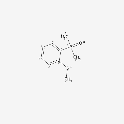 CSc1ccccc1P(C)(C)=O